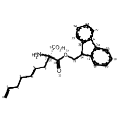 C=CCCCCC[C@](N)(C(=O)O)C(=O)OCC1c2ccccc2-c2ccccc21